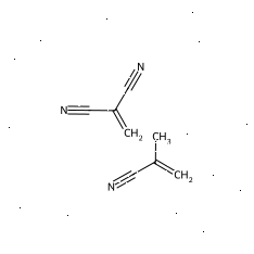 C=C(C#N)C#N.C=C(C)C#N